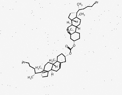 CC(C)CCC[C@@H](C)[C@H]1CC[C@H]2[C@@H]3CC=C4C[C@@H](OC(=O)O[C@H]5CC[C@@]6(C)C(=CC[C@H]7[C@@H]8CC[C@H]([C@H](C)CCCC(C)C)[C@@]8(C)CC[C@@H]76)C5)CC[C@]4(C)[C@H]3CC[C@]12C